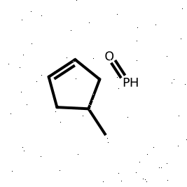 CC1CC=CC1.O=P